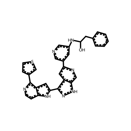 OC(Cc1ccccc1)Nc1cncc(-c2cc3c(-c4cc5c(-c6ccsc6)nccc5[nH]4)n[nH]c3cn2)c1